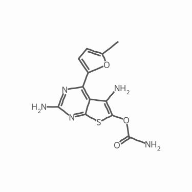 Cc1ccc(-c2nc(N)nc3sc(OC(N)=O)c(N)c23)o1